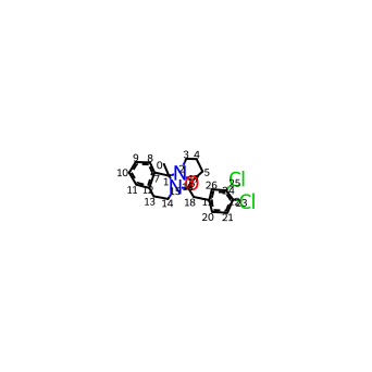 CC1(N2CCCC2)c2ccccc2CCN1C(=O)Cc1ccc(Cl)c(Cl)c1